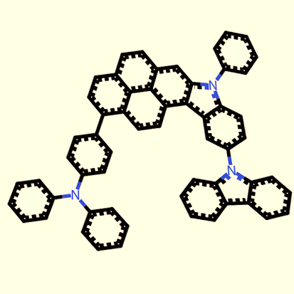 c1ccc(N(c2ccccc2)c2ccc(-c3ccc4ccc5cc6c(c7ccc3c4c57)c3cc(-n4c5ccccc5c5ccccc54)ccc3n6-c3ccccc3)cc2)cc1